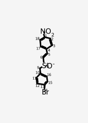 O=[N+]([O-])c1ccc(C=C[S+]([O-])Cc2ccc(Br)cc2)cc1